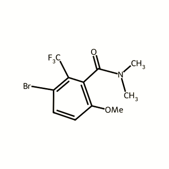 COc1ccc(Br)c(C(F)(F)F)c1C(=O)N(C)C